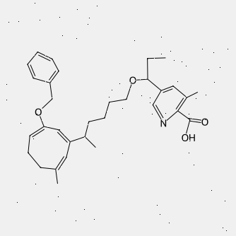 CCC(OCCCCC(C)C1=C/C(OCc2ccccc2)=C\CC/C(C)=C\1)c1cnc(C(=O)O)c(C)c1